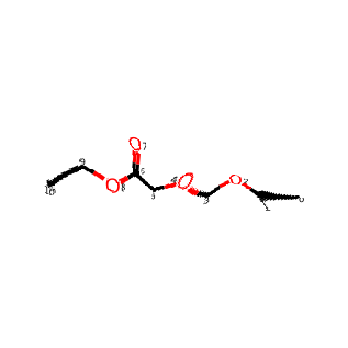 CCOCOCC(=O)OCC